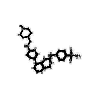 CN1CCC(CNc2ccc(-c3cccc4cnc(Nc5ccc(S(N)(=O)=O)cc5)nc34)cn2)CC1